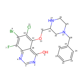 Oc1ncnc2c(F)c(Br)c(Cl)c(OCC3CN(Cc4ccccc4)CCN3)c12